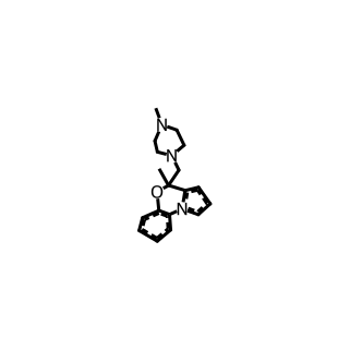 CN1CCN(CC2(C)Oc3ccccc3-n3cccc32)CC1